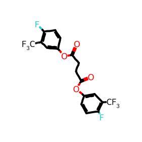 O=C(CCC(=O)Oc1ccc(F)c(C(F)(F)F)c1)Oc1ccc(F)c(C(F)(F)F)c1